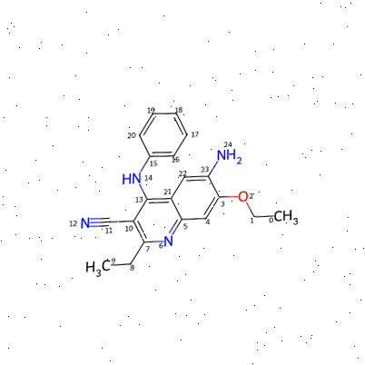 CCOc1cc2nc(CC)c(C#N)c(Nc3ccccc3)c2cc1N